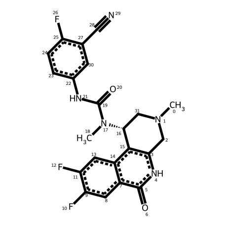 CN1Cc2[nH]c(=O)c3cc(F)c(F)cc3c2[C@H](N(C)C(=O)Nc2ccc(F)c(C#N)c2)C1